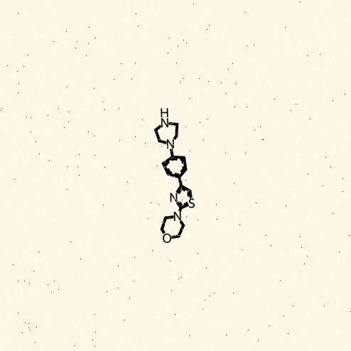 c1cc(N2CCNCC2)ccc1-c1csc(N2CCOCC2)n1